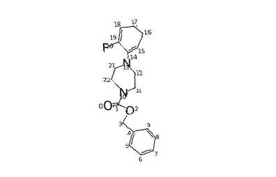 O=C(OCc1ccccc1)N1CCN(C2=CC[CH]C=C2F)CC1